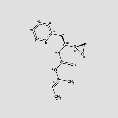 C/C=C(\C)OC(=O)N[C@@H](Cc1ccccc1)[C@H]1CO1